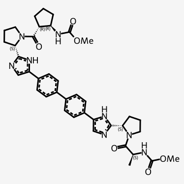 COC(=O)N[C@@H](C)C(=O)N1CCC[C@H]1c1ncc(-c2ccc(-c3ccc(-c4cnc([C@@H]5CCCN5C(=O)[C@@H]5CCC[C@H]5NC(=O)OC)[nH]4)cc3)cc2)[nH]1